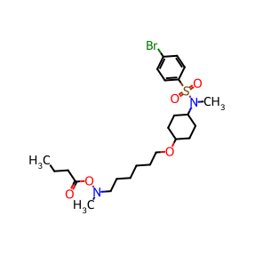 CCCC(=O)ON(C)CCCCCCOC1CCC(N(C)S(=O)(=O)c2ccc(Br)cc2)CC1